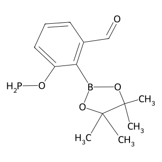 CC1(C)OB(c2c(C=O)cccc2OP)OC1(C)C